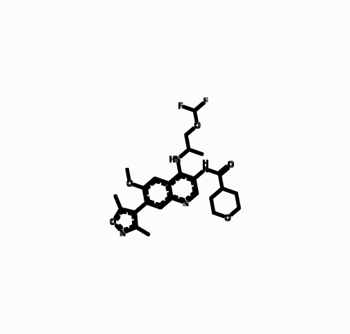 COc1cc2c(NC(C)COC(F)F)c(NC(=O)C3CCOCC3)cnc2cc1-c1c(C)noc1C